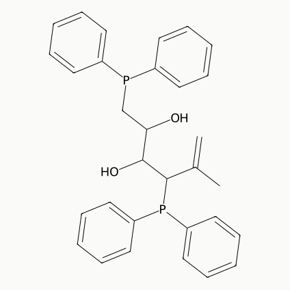 C=C(C)C(C(O)C(O)CP(c1ccccc1)c1ccccc1)P(c1ccccc1)c1ccccc1